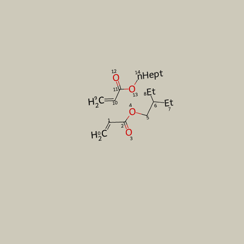 C=CC(=O)OCC(CC)CC.C=CC(=O)OCCCCCCC